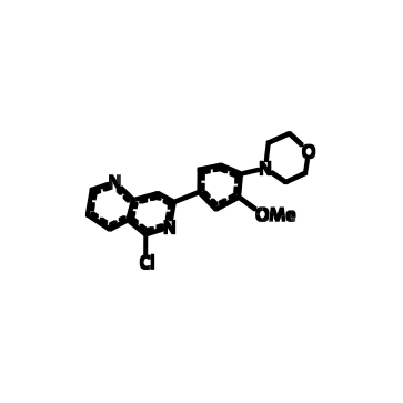 COc1cc(-c2cc3ncccc3c(Cl)n2)ccc1N1CCOCC1